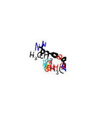 CCN1CC=C(c2cccc(COc3ccc(/C=C/C4=CC(=C(C#N)C#N)CC(C)(C)C4)cc3)c2)O1.O=S(=O)(O)C(F)(F)F